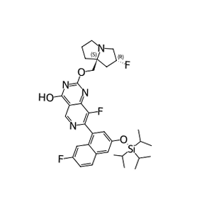 CC(C)[Si](Oc1cc(-c2ncc3c(O)nc(OC[C@@]45CCCN4C[C@H](F)C5)nc3c2F)c2cc(F)ccc2c1)(C(C)C)C(C)C